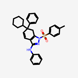 Cc1ccc(S(=O)(=O)n2nc(Nc3ccccc3)c3c2CC(c2ccccc2)(C2CCCCC2)C=C3)cc1